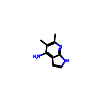 Cc1nc2[nH]ccc2c(N)c1C